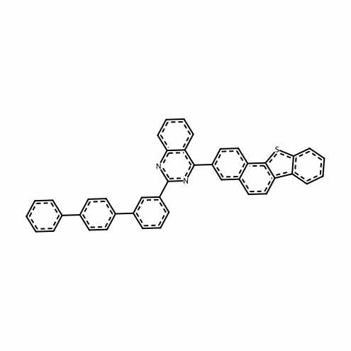 c1ccc(-c2ccc(-c3cccc(-c4nc(-c5ccc6c(ccc7c8ccccc8sc67)c5)c5ccccc5n4)c3)cc2)cc1